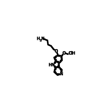 COc1cc2c(cc1OCCCCN)[nH]c1ccncc12.Cl